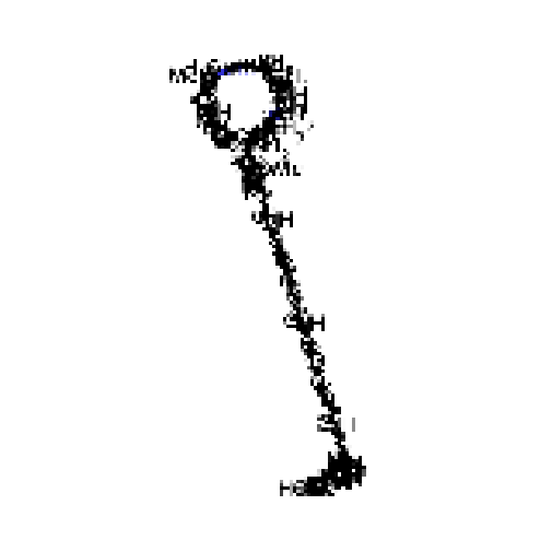 CO[C@H]1C[C@@H]2CCC[C@@](O)(O2)C(=O)C(=O)N2CCCC[C@H]2C(=O)O[C@H]([C@H](N)C[C@@H]2CC[C@H](n3cc(CCCC(=O)NCCOCCOCCOCCOCCC(=O)NCCOCCOCCOCCOCCC(=O)NCCCCn4nc(-c5cc6cc(O)ccc6[nH]5)c5c(N)ncnc54)nn3)[C@H](OC)C2)CC(=O)[C@H](C)/C=C(\C)[C@@H](O)[C@@H](O)C(=O)[C@H](C)C[C@H](C)/C=C/C=C/C=C/1C